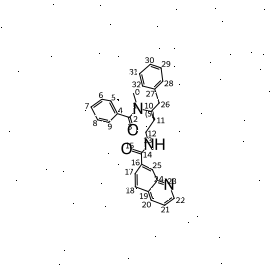 CN(C(=O)c1ccccc1)[C@H](CCNC(=O)c1ccc2cccnc2c1)Cc1ccccc1